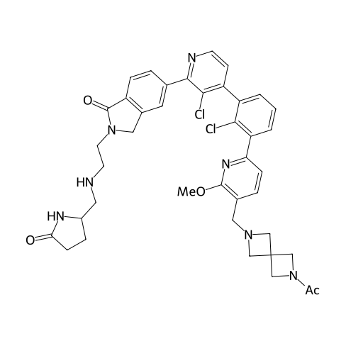 COc1nc(-c2cccc(-c3ccnc(-c4ccc5c(c4)CN(CCNCC4CCC(=O)N4)C5=O)c3Cl)c2Cl)ccc1CN1CC2(C1)CN(C(C)=O)C2